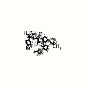 C[C@@H]1CN(c2ccc(-n3c(C(=O)NCc4ccccc4-n4cc(F)cn4)c4n(c3=O)C[C@@H](C)N(C(=O)c3ccc(Br)c(Cl)c3)C4)cc2)CCO1